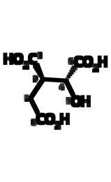 O=C(O)C[C@@H](C(=O)O)[C@@H](O)C(=O)O